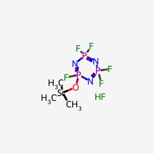 C[Si](C)(C)OP1(F)=NP(F)(F)=NP(F)(F)=N1.F